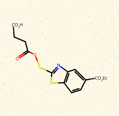 CCOC(=O)c1ccc2sc(SOC(=O)CCC(=O)O)nc2c1